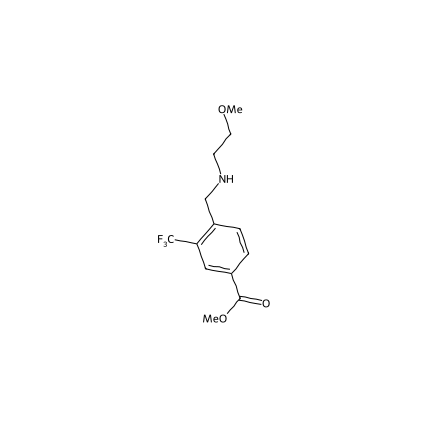 COCCNCc1ccc(C(=O)OC)cc1C(F)(F)F